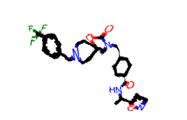 CC(NC(=O)[C@H]1CC[C@H](CN2CC3(CCN(Cc4ccc(C(F)(F)F)cc4)CC3)OC2=O)CC1)c1ccno1